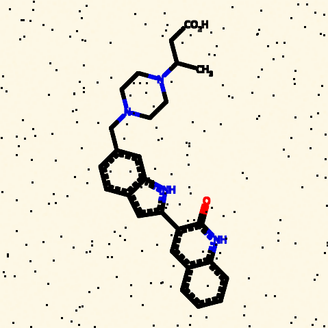 CC(CC(=O)O)N1CCN(Cc2ccc3cc(-c4cc5ccccc5[nH]c4=O)[nH]c3c2)CC1